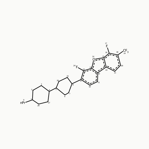 CCCC1CCC(C2CCC(c3ccc4c(oc5c(F)c(C(F)(F)F)ccc54)c3F)CC2)CC1